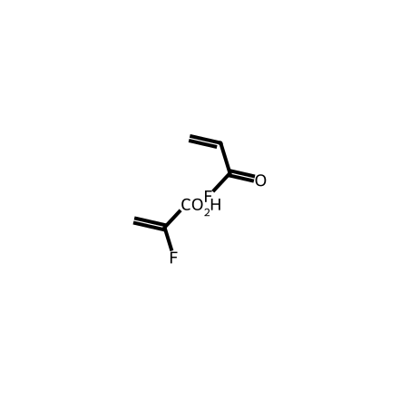 C=C(F)C(=O)O.C=CC(=O)F